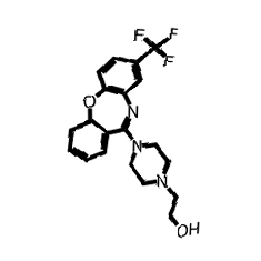 OCCN1CCN(C2=Nc3cc(C(F)(F)F)ccc3OC3CC=CC=C23)CC1